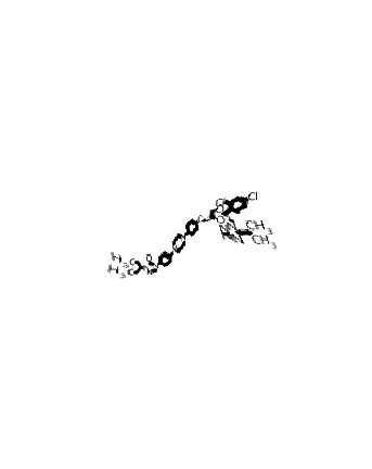 CCC(CC)n1ncn(-c2ccc(N3CCN(c4ccc(OC[C@@H]5CO[C@@](Cn6nnnc6C(C)C)(c6ccc(Cl)cc6Cl)O5)cc4)CC3)cc2)c1=O